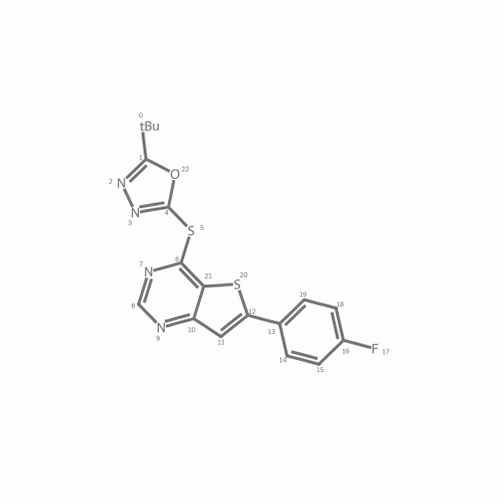 CC(C)(C)c1nnc(Sc2ncnc3cc(-c4ccc(F)cc4)sc23)o1